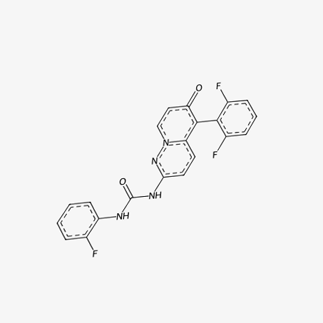 O=C(Nc1ccc2c(-c3c(F)cccc3F)c(=O)ccn2n1)Nc1ccccc1F